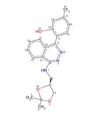 CC1(C)OC[C@H](CNc2nnc(-c3ccc(C(F)(F)F)cc3O)c3ccccc23)O1